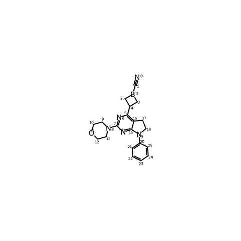 N#CB1CC(c2nc(N3CCOCC3)nc3c2CCN3c2ccccc2)C1